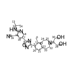 Cc1c(-c2noc(-c3cnc(NC(C)C)c(C#N)c3)n2)ccc2c1CCN(C(CO)CO)CC2